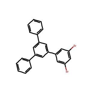 Brc1cc(Br)cc(-c2cc(-c3ccccc3)cc(-c3ccccc3)c2)c1